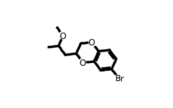 COC(C)CC1COc2ccc(Br)cc2O1